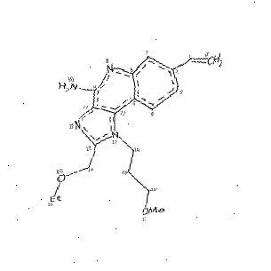 C=Cc1ccc2c(c1)nc(N)c1nc(COCC)n(CCCOC)c12